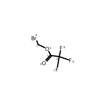 O=C(OCBr)C(F)(F)F